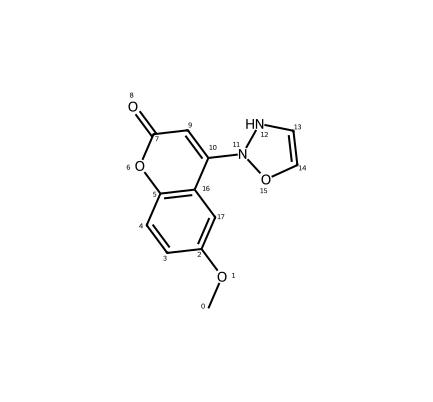 COc1ccc2oc(=O)cc(N3NC=CO3)c2c1